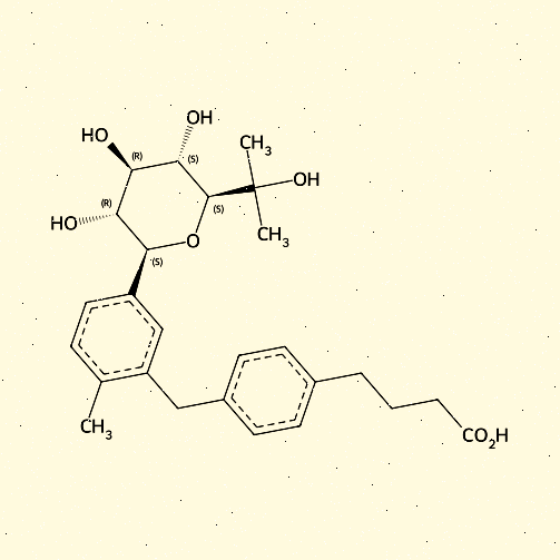 Cc1ccc([C@@H]2O[C@H](C(C)(C)O)[C@@H](O)[C@H](O)[C@H]2O)cc1Cc1ccc(CCCC(=O)O)cc1